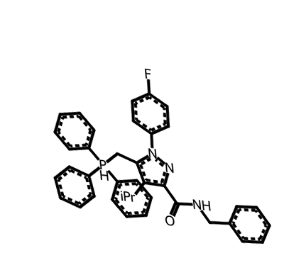 CC(C)c1c(C(=O)NCc2ccccc2)nn(-c2ccc(F)cc2)c1C[PH](c1ccccc1)(c1ccccc1)c1ccccc1